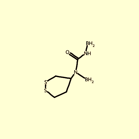 BNC(=O)N(B)C1CCSSC1